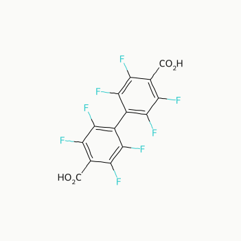 O=C(O)c1c(F)c(F)c(-c2c(F)c(F)c(C(=O)O)c(F)c2F)c(F)c1F